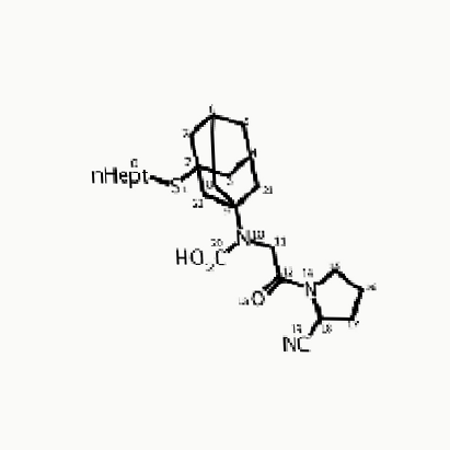 CCCCCCCSC12CC3CC(C1)CC(N(CC(=O)N1CCCC1C#N)C(=O)O)(C3)C2